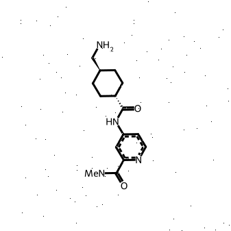 CNC(=O)c1cc(NC(=O)[C@H]2CC[C@H](CN)CC2)ccn1